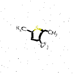 Cc1cc(C(F)(F)F)c(C)s1